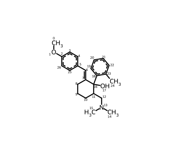 COc1ccc(/C=C2\CCCC(CN(C)C)C2(O)c2ccccc2C)cc1